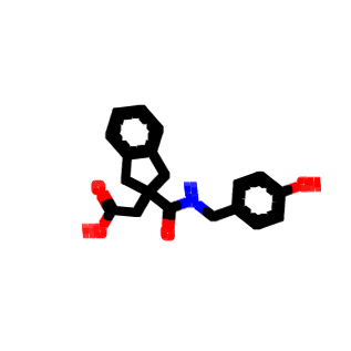 O=C(O)CC1(C(=O)NCc2ccc(O)cc2)Cc2ccccc2C1